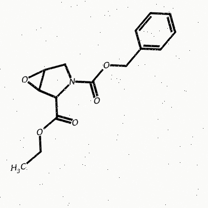 CCOC(=O)C1C2OC2CN1C(=O)OCc1ccccc1